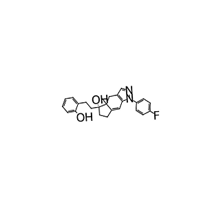 CC12Cc3cnn(-c4ccc(F)cc4)c3C=C1CC[C@@]2(O)CCc1ccccc1O